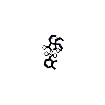 C/C=C\C1C(=O)N(S(=O)(=O)c2cccc(C)c2C)C(=O)C1(/C=C\C)/C=C\C